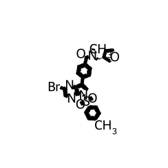 Cc1ccc(S(=O)(=O)n2cc(-c3ccc(C(=O)N(C)C[C@@H]4CCOC4)cc3)c3nc(Br)cnc32)cc1